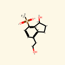 O=S(=O)(c1ccc(CCO)c2c1C(O)CC2)C(F)(F)F